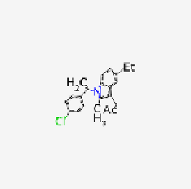 C=C(c1ccc(Cl)cc1)n1c(C)c(CC(C)=O)c2cc(CC)ccc21